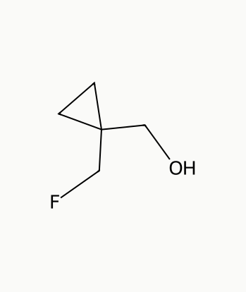 OCC1(CF)CC1